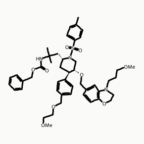 COCCCN1CCOc2ccc(CO[C@H]3CN(S(=O)(=O)c4ccc(C)cc4)[C@@H](CC(C)(C)NC(=O)OCc4ccccc4)C[C@@H]3c3ccc(COCCOC)cc3)cc21